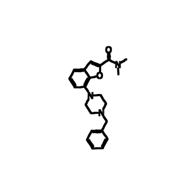 CN(C)C(=O)c1cc2cccc(N3CCN(Cc4ccccc4)CC3)c2o1